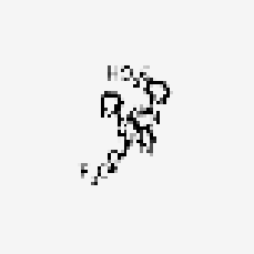 O=C(O)[C@@H]1CCCN(c2nc(Nc3ccccn3)c3c(cnn3CCOCC(F)(F)F)n2)C1